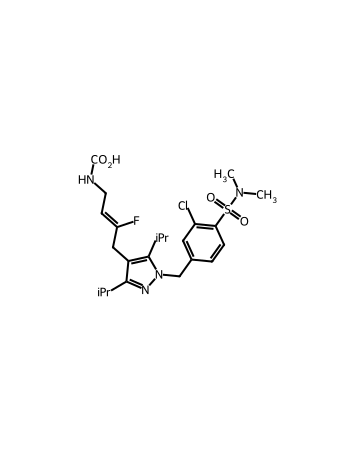 CC(C)c1nn(Cc2ccc(S(=O)(=O)N(C)C)c(Cl)c2)c(C(C)C)c1CC(F)=CCNC(=O)O